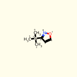 C[Si](C)(C)c1ccon1